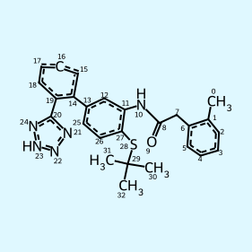 Cc1ccccc1CC(=O)Nc1cc(-c2ccccc2-c2nn[nH]n2)ccc1SC(C)(C)C